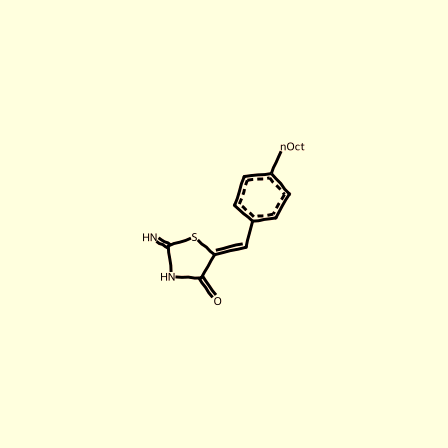 CCCCCCCCc1ccc(/C=C2\SC(=N)NC2=O)cc1